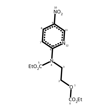 CCOC(=O)OCCN(C(=O)OCC)c1ccc([N+](=O)[O-])cn1